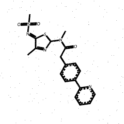 CC1=NC(N(C)C(=O)Cc2ccc(-c3ccccn3)cc2)SC1=NS(C)(=O)=O